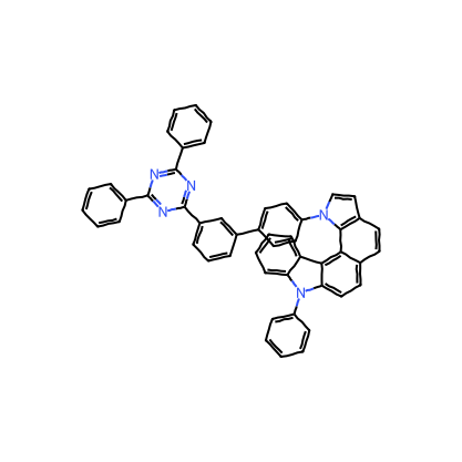 c1ccc(-c2nc(-c3ccccc3)nc(-c3cccc(-c4ccc(-n5ccc6ccc7ccc8c(c9ccccc9n8-c8ccccc8)c7c65)cc4)c3)n2)cc1